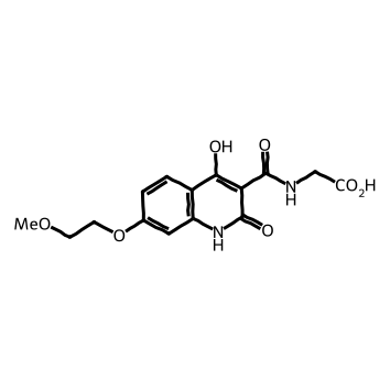 COCCOc1ccc2c(O)c(C(=O)NCC(=O)O)c(=O)[nH]c2c1